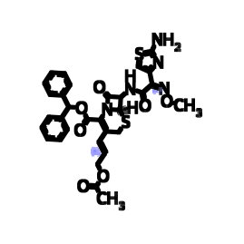 CO/N=C(\C(=O)NC1C(=O)N2C(C(=O)OC(c3ccccc3)c3ccccc3)=C(/C=C/COC(C)=O)CS[C@H]12)c1csc(N)n1